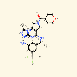 Cc1nnc2nc(N[C@H](C)c3cc(N)cc(C(F)(F)F)c3)c3c(n12)CN(C(=O)C1CCOCC1)C3